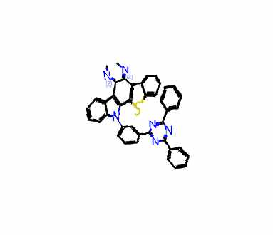 C/N=C1\C(=N/C)c2c(n(-c3cccc(-c4nc(-c5ccccc5)nc(-c5ccccc5)n4)c3)c3ccccc23)-c2sc3ccccc3c21